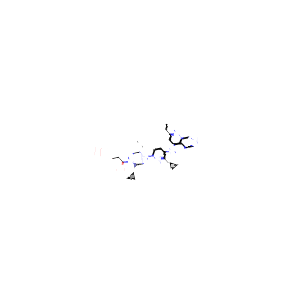 C=Cc1cc(Nc2cc(C#N)c(N3CCN(C(=O)CCO)[C@H](C4CC4)C3)nc2C2CC2)c2ccncc2n1